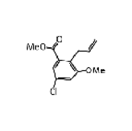 C=CCc1c(OC)cc(Cl)cc1C(=O)OC